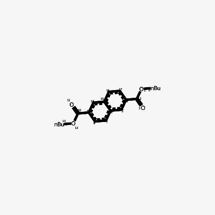 CCCCOC(=O)c1[c]c2ccc(C(=O)OCCCC)cc2cc1